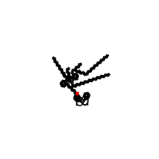 CCCCCCCCCC=CC1=C(c2ccccc2CCC(CC=CCCCCCCCCCCCCCCCC)CCCC)[N+](=[N-])C(c2ccccc2CCC(CC=CCCCCCCCCCCCCCCCC)CCCC)=C1CCCC.c1ccc([O][Pd][O]c2ccccc2)cc1